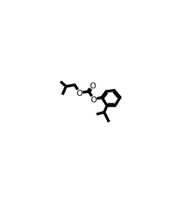 CC(C)COC(=O)Oc1ccccc1C(C)C